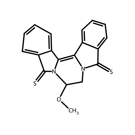 COC1CN2C(=S)c3ccccc3C2=C2c3ccccc3C(=S)N21